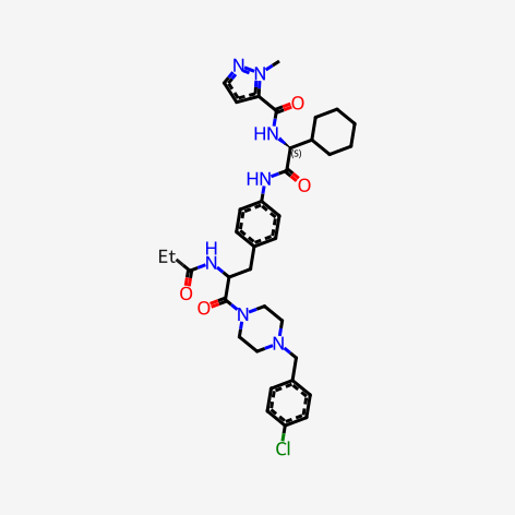 CCC(=O)NC(Cc1ccc(NC(=O)[C@@H](NC(=O)c2ccnn2C)C2CCCCC2)cc1)C(=O)N1CCN(Cc2ccc(Cl)cc2)CC1